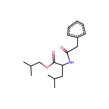 CC(C)COC(=O)C(CC(C)C)NC(=O)Cc1ccccc1